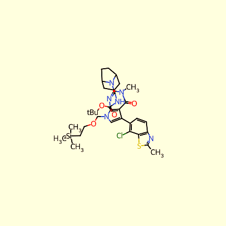 Cc1nc2ccc(-c3cn(COCC[Si](C)(C)C)c4nc(N5C6CCC5CC(NC(=O)OC(C)(C)C)C6)n(C)c(=O)c34)c(Cl)c2s1